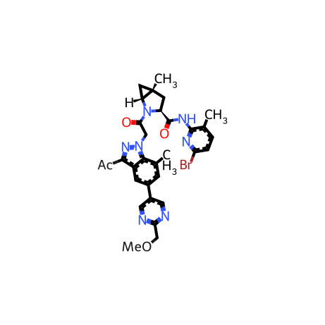 COCc1ncc(-c2cc(C)c3c(c2)c(C(C)=O)nn3CC(=O)N2[C@H](C(=O)Nc3nc(Br)ccc3C)C[C@@]3(C)C[C@@H]23)cn1